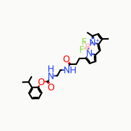 CC1=CC(C)=[N+]2C1=Cc1ccc(CCC(=O)NCCNC(=O)Oc3ccccc3C(C)C)n1[B-]2(F)F